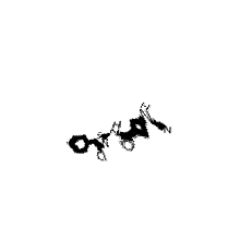 N#CNC1CC(C(=O)Nc2nc(Cl)c(C3CCCCC3)s2)C1